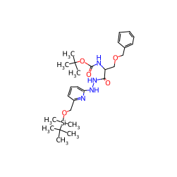 CC(C)(C)OC(=O)NC(COCc1ccccc1)C(=O)NNc1cccc(CO[Si](C)(C)C(C)(C)C)n1